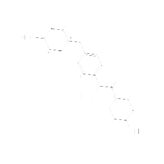 CC1CCC(Cc2ccc(C(C)C(=O)C3CCC(C)CC3)cc2)CC1